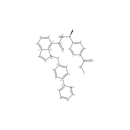 COC(=O)c1ccc([C@H](C)NC(=O)c2cccc3ccn(Cc4ccc(-c5ccccn5)cc4)c23)cc1